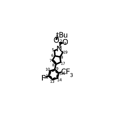 CC(C)(C)OC(=O)N1CC2C=C(c3cc(F)ccc3C(F)(F)F)CC2C1